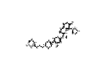 O=c1cnc2cnc(Nc3ccc(N4CCC(CCCN5CCOCC5)CC4)c(F)c3)nc2n1C1CCCC1